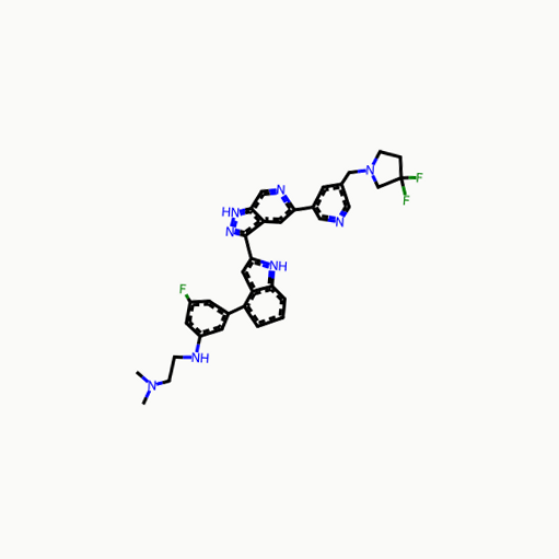 CN(C)CCNc1cc(F)cc(-c2cccc3[nH]c(-c4n[nH]c5cnc(-c6cncc(CN7CCC(F)(F)C7)c6)cc45)cc23)c1